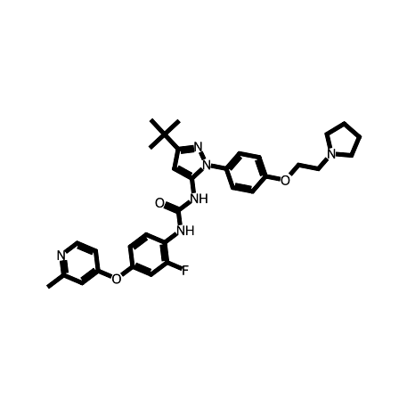 Cc1cc(Oc2ccc(NC(=O)Nc3cc(C(C)(C)C)nn3-c3ccc(OCCN4CCCC4)cc3)c(F)c2)ccn1